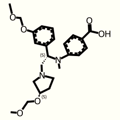 COCOc1cccc([C@@H](CN2CC[C@H](OCOC)C2)N(C)c2ccc(C(=O)O)cc2)c1